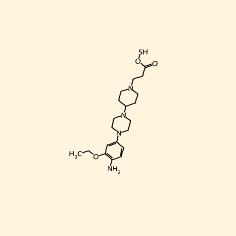 CCOc1cc(N2CCN(C3CCN(CCC(=O)OS)CC3)CC2)ccc1N